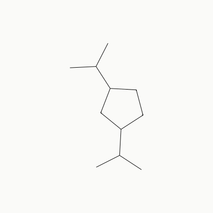 CC(C)C1CCC(C(C)C)C1